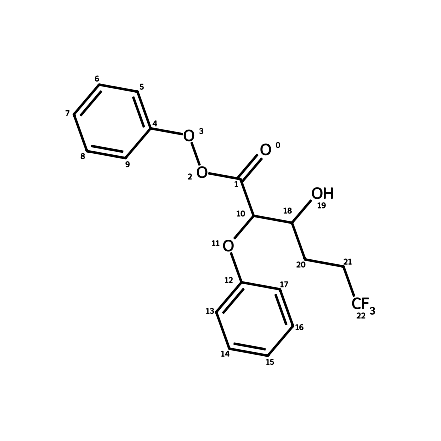 O=C(OOc1ccccc1)C(Oc1ccccc1)C(O)CCC(F)(F)F